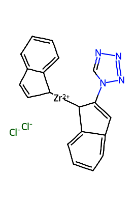 C1=C[CH]([Zr+2][CH]2C(n3cnnn3)=Cc3ccccc32)c2ccccc21.[Cl-].[Cl-]